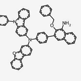 Nc1c(OCc2ccccc2)c(-c2ccc(N(c3ccc4c(c3)oc3ccccc34)c3ccc4c(c3)c3ccccc3n4-c3ccccc3)cc2)cc2ccccc12